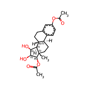 CC(=O)Oc1ccc2c(c1)CC[C@H]1[C@@H]3[C@H](O)[C@H](O)[C@H](OC(C)=O)[C@@]3(C)CC[C@H]21